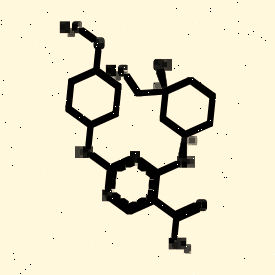 CC[C@]1(O)CCC[C@@H](Nc2nc(NC3CCC(OC)CC3)ncc2C(N)=O)C1